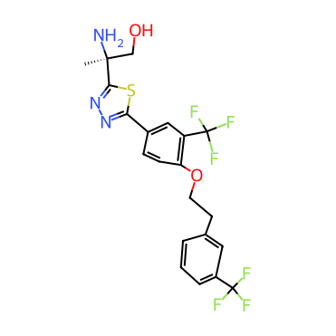 C[C@](N)(CO)c1nnc(-c2ccc(OCCc3cccc(C(F)(F)F)c3)c(C(F)(F)F)c2)s1